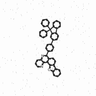 c1ccc(C2(c3ccccc3)c3ccccc3-c3ccc(-c4ccc(-c5nc6cccnc6c6c5ccc5c7ccccc7oc56)cc4)cc32)cc1